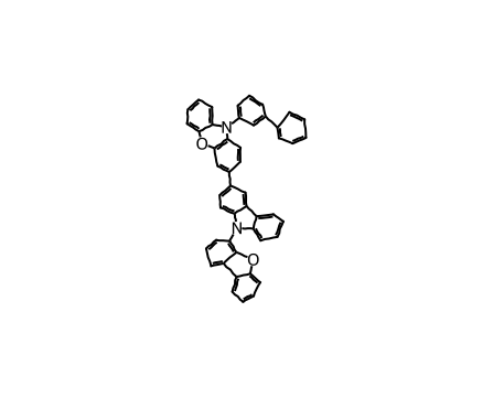 c1ccc(-c2cccc(N3c4ccccc4Oc4cc(-c5ccc6c(c5)c5ccccc5n6-c5cccc6c5oc5ccccc56)ccc43)c2)cc1